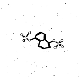 O=S(=O)(Cl)Oc1cccc2c(OS(=O)(=O)Cl)cccc12